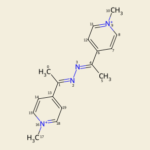 C/C(=N\N=C(/C)c1cc[n+](C)cc1)c1cc[n+](C)cc1